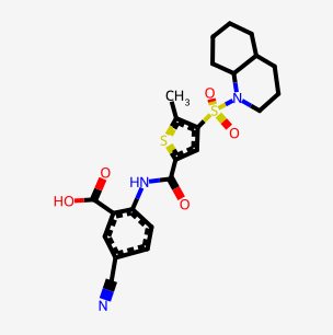 Cc1sc(C(=O)Nc2ccc(C#N)cc2C(=O)O)cc1S(=O)(=O)N1CCCC2CCCCC21